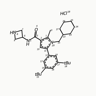 Cc1c(C(=O)NC2CNC2)cc(-c2cc(C(C)(C)C)cc(C(C)(C)C)c2)n1CC1CCCCC1.Cl